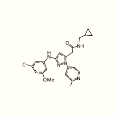 COc1cc(Cl)cc(Nc2cc(CC(=O)NCC3CC3)n(-c3ccnc(C)c3)n2)c1